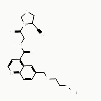 COCCOCc1ccc2nccc(C(=O)NCC(=O)N3CSCC3C#N)c2c1